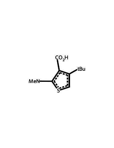 CNc1scc(C(C)(C)C)c1C(=O)O